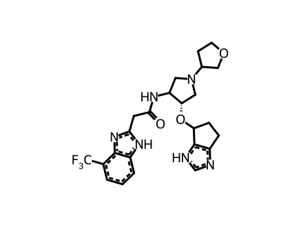 O=C(Cc1nc2c(C(F)(F)F)cccc2[nH]1)NC1CN(C2CCOC2)C[C@@H]1OC1CCc2nc[nH]c21